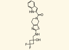 O=C(c1cc2ccccc2[nH]1)N1CCc2nc(NCC3(O)CC(F)(F)C3)sc2C1